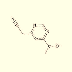 C[S+]([O-])c1cc(CC#N)ncn1